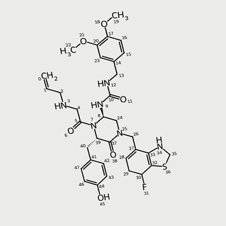 C=CCNCC(=O)N1[C@@H](NC(=O)NCc2ccc(OC)c(OC)c2)CN(CC2=CCC(F)C3=C2NCS3)C(=O)[C@@H]1Cc1ccc(O)cc1